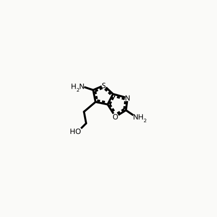 Nc1nc2sc(N)c(CCO)c2o1